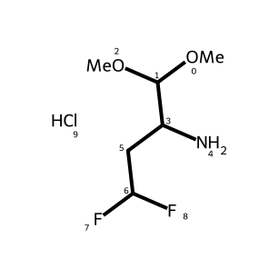 COC(OC)C(N)CC(F)F.Cl